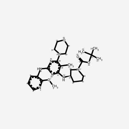 COc1ncccc1Nc1nc(N[C@@H]2CCCN(C(=O)OC(C)(C)C)C2)c(C)c(N2CCOCC2)n1